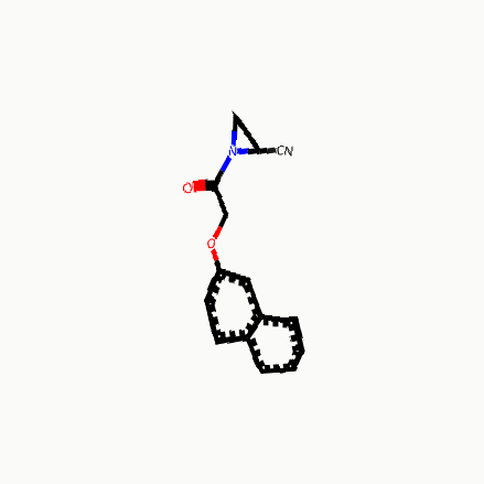 N#CC1CN1C(=O)COc1ccc2ccccc2c1